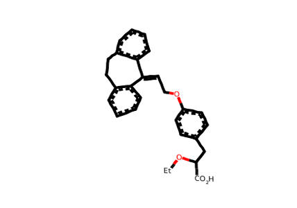 CCOC(Cc1ccc(OCC=C2c3ccccc3CCc3ccccc32)cc1)C(=O)O